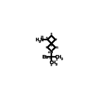 CCC(C)(C)N1CC2(CCC2N)C1